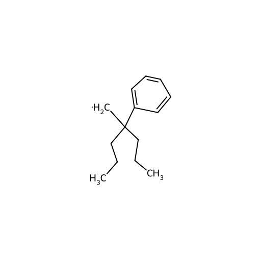 [CH2]C(CCC)(CCC)c1ccccc1